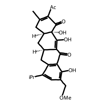 COCc1cc(C(C)C)c2c(c1O)C(=O)C1=C(O)[C@]3(O)C(=O)C(C(C)=O)=C(C)C[C@@H]3C[C@@H]1C2